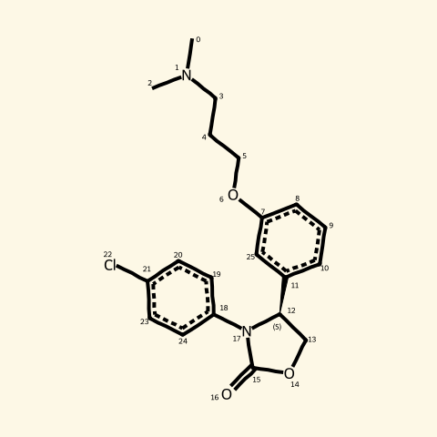 CN(C)CCCOc1cccc([C@H]2COC(=O)N2c2ccc(Cl)cc2)c1